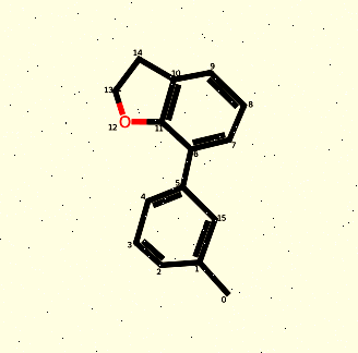 Cc1cccc(-c2cccc3c2O[CH]C3)c1